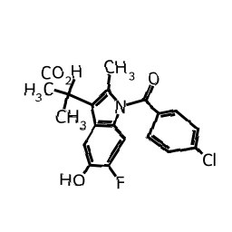 Cc1c(C(C)(C)C(=O)O)c2cc(O)c(F)cc2n1C(=O)c1ccc(Cl)cc1